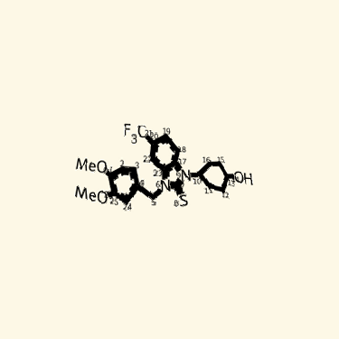 COc1ccc(Cn2c(=S)n(C3CCC(O)CC3)c3ccc(C(F)(F)F)cc32)cc1OC